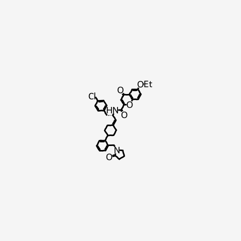 CCOc1ccc2oc(C(=O)N[C@H](C=C3CCC(c4ccccc4CN4CCCC4=O)CC3)Cc3ccc(Cl)cc3)cc(=O)c2c1